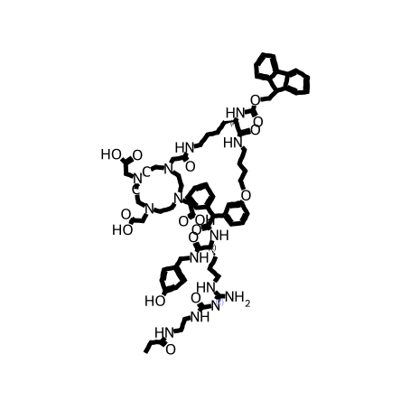 CCC(=O)NCCNC(=O)/N=C(/N)NCCC[C@@H](NC(=O)C(c1ccccc1)c1cccc(OCCCCNC(=O)[C@@H](CCCCNC(=O)CN2CCN(CC(=O)O)CCN(CC(=O)O)CCN(CC(=O)O)CC2)NC(=O)OCC2c3ccccc3-c3ccccc32)c1)C(=O)NCc1ccc(O)cc1